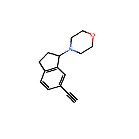 C#Cc1ccc2c(c1)C(N1CCOCC1)CC2